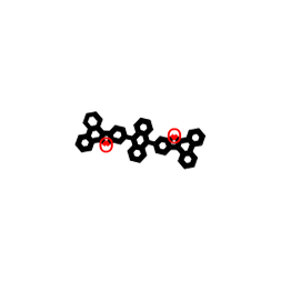 C1=Cc2c(c3ccccc3c3oc4cc(-c5c6ccccc6c(-c6ccc7c(c6)oc6c8ccccc8c8ccccc8c76)c6ccccc56)ccc4c23)CC1